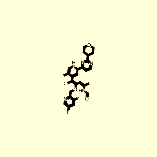 CC1=CNC(c2ccnc(C3CCOCC3)n2)C=C1/C(Cl)=C(\C=C(\C)NC=O)OCc1ncc(F)cc1F